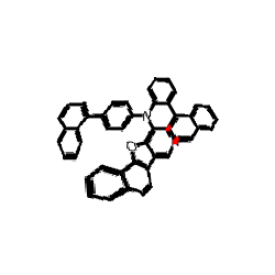 c1ccc(N(c2ccc(-c3cccc4ccccc34)cc2)c2cncc3c2oc2c4ccccc4ccc32)c(-c2cccc3ccccc23)c1